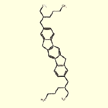 CCCCC(CC)Cc1ccc2c(c1)Cc1cc3c(cc1-2)Cc1cc(CC(CC)CCCC)ccc1-3